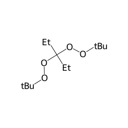 CCC(CC)(OOC(C)(C)C)OOC(C)(C)C